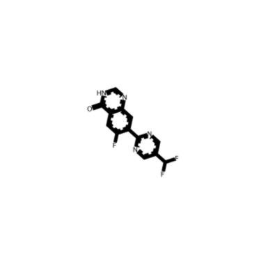 O=c1[nH]cnc2cc(-c3ncc(C(F)F)cn3)c(F)cc12